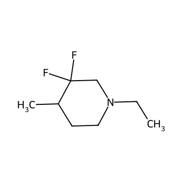 CCN1CCC(C)C(F)(F)C1